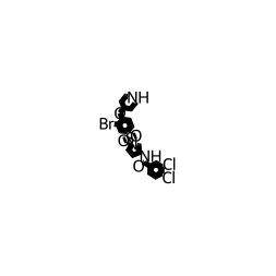 O=C(N[C@H]1CCN(S(=O)(=O)c2ccc(OC3CCNCC3)c(Br)c2)C1)c1ccc(Cl)c(Cl)c1